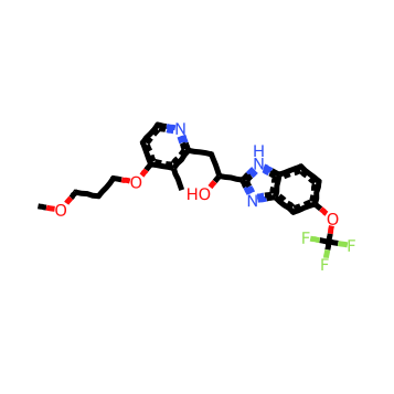 COCCCOc1ccnc(CC(O)c2nc3cc(OC(F)(F)F)ccc3[nH]2)c1C